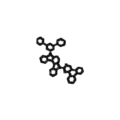 c1ccc(-c2cc(-c3ccccc3)cc(-n3c4ccccc4c4c5c6ccccc6n(-c6ncc7c8ccccc8c8ccccc8c7n6)c5ccc43)c2)cc1